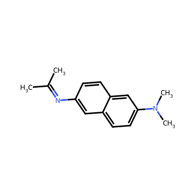 CC(C)=Nc1ccc2cc(N(C)C)ccc2c1